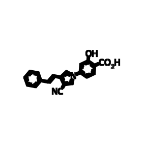 N#Cc1cn(-c2ccc(C(=O)O)c(O)c2)cc1/C=C/c1ccccc1